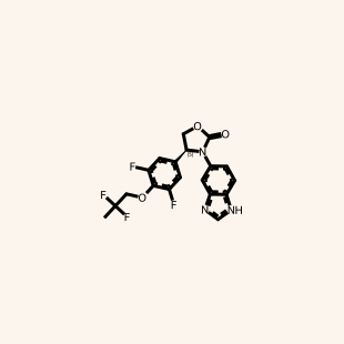 CC(F)(F)COc1c(F)cc([C@H]2COC(=O)N2c2ccc3[nH]cnc3c2)cc1F